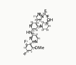 COc1cc(F)cc(F)c1-c1nccc(Nc2cc(N3CCC[C@H](O)C3)c(-c3cnn(C(F)F)c3)cn2)n1